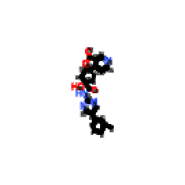 Cc1cccc(-c2cnc(NC(=O)[C@]3(O)CC[C@@]4(CC3)OC(=O)c3cnccc34)nc2)c1